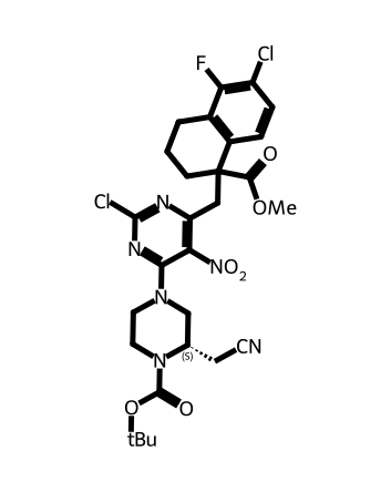 COC(=O)C1(Cc2nc(Cl)nc(N3CCN(C(=O)OC(C)(C)C)[C@@H](CC#N)C3)c2[N+](=O)[O-])CCCc2c1ccc(Cl)c2F